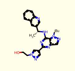 CCC(C)n1ncc2nc(-c3cnn(CCO)c3)nc(N[C@H](C)c3cnc4ccccc4c3)c21